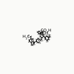 C=Cc1ccc2ncc(C3CCN(CC4CN(C5(C(C)C(=O)O)CCC5)CC4c4cccc(F)c4)CC3)n2c1